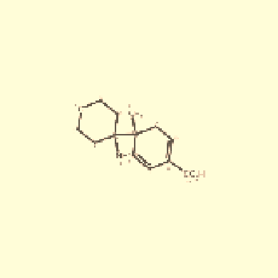 CC1(C2(N)CCOCC2)C=CC(C(=O)O)=CC1